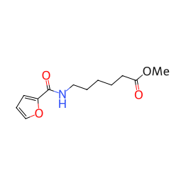 COC(=O)CCCCCNC(=O)c1ccco1